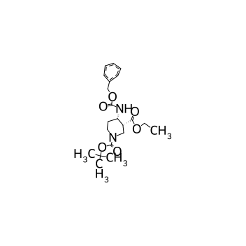 CCOC(=O)[C@@H]1CN(C(=O)OC(C)(C)C)CC[C@@H]1NC(=O)OCc1ccccc1